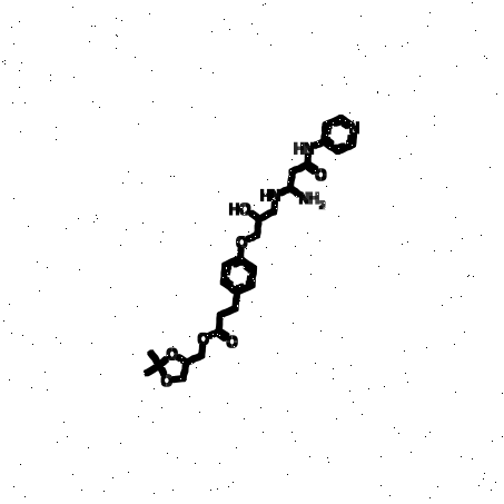 CC1(C)OCC(COC(=O)CCc2ccc(OCC(O)CNC(N)CC(=O)Nc3ccncc3)cc2)O1